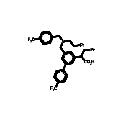 CC(C)CCN(Cc1ccc(C(F)(F)F)cc1)Cc1cc(-c2ccc(C(F)(F)F)cc2)cc(C(CC(C)C)C(=O)O)c1